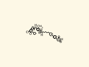 Cc1cc(S(=O)(=O)NCCCCCC2CCN(c3ccc(N4CCC(=O)NC4=O)cc3)CC2)ccc1Nc1ncc2cc(Cl)c(=O)n(C3CCCC3)c2n1